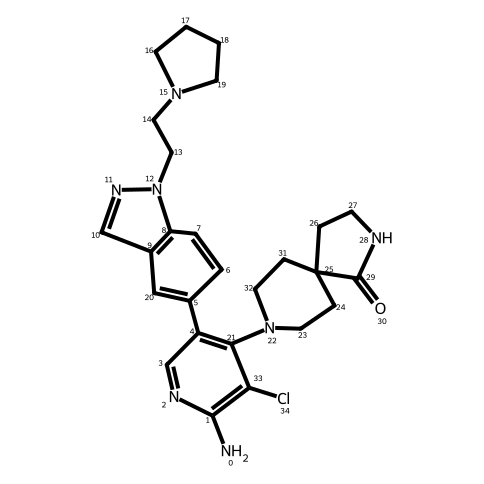 Nc1ncc(-c2ccc3c(cnn3CCN3CCCC3)c2)c(N2CCC3(CCNC3=O)CC2)c1Cl